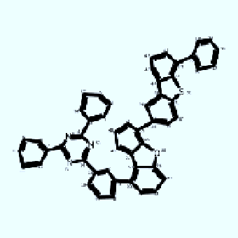 c1ccc(-c2nc(-c3ccccc3)nc(-c3cccc(-c4cccc5oc6c(-c7ccc8sc9c(-c%10ccccc%10)cccc9c8c7)cccc6c45)c3)n2)cc1